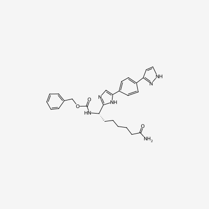 NC(=O)CCCCC[C@H](NC(=O)OCc1ccccc1)c1ncc(-c2ccc(-c3cc[nH]n3)cc2)[nH]1